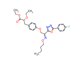 CCCCO/N=C(\COc1ccc(CC(OCC)C(=O)OCC)cc1)c1nnc(-c2ccc(F)cc2)o1